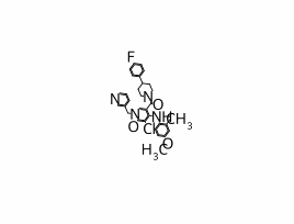 COc1ccc(Nc2c(C(=O)N3CCC(c4ccc(F)cc4)CC3)cn(Cc3cccnc3)c(=O)c2Cl)c(C)c1